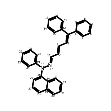 C(=CC=C(c1ccccc1)c1ccccc1)C=NN(c1ccccc1)c1cccc2ccccc12